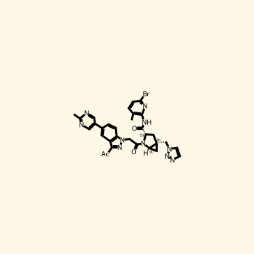 CC(=O)c1nn(CC(=O)N2[C@H](C(=O)Nc3nc(Br)ccc3C)C[C@@]3(Cn4ccnn4)C[C@@H]23)c2ccc(-c3cnc(C)nc3)cc12